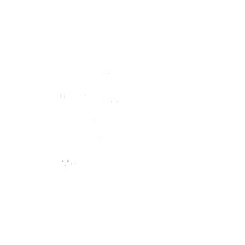 C=C(C)C(=O)OC.C=C(C=Cc1ccccc1)C(=O)OC(CC)CCCCC